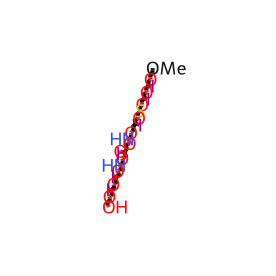 COCCOCC(I)COCC(I)COCSCOCC(I)CCOCNOCCC(COCNCOCC(I)COCC(I)COCCO)OI